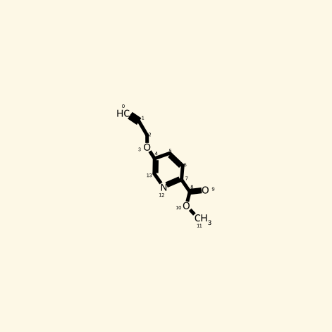 C#CCOc1ccc(C(=O)OC)nc1